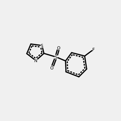 O=S(=O)(c1cccc(F)c1)c1nccs1